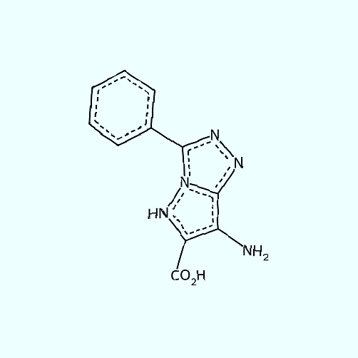 Nc1c(C(=O)O)[nH]n2c(-c3ccccc3)nnc12